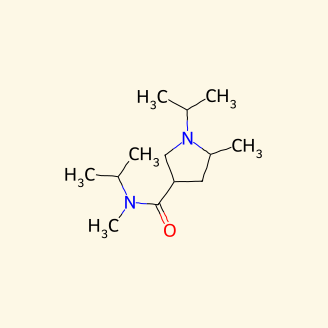 CC(C)N(C)C(=O)C1CC(C)N(C(C)C)C1